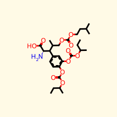 CCC(C)OC(=O)Oc1ccc(C(C(C)COC(=O)OCCC(C)C)[C@H](N)C(=O)O)cc1OC(=O)OC(C)CC